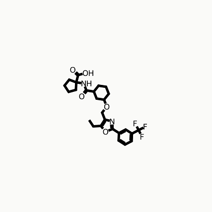 CCc1oc(-c2cccc(C(F)(F)F)c2)nc1COC1CCCC(C(=O)NC2(C(=O)O)CCCC2)C1